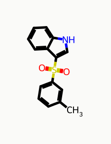 Cc1cccc(S(=O)(=O)c2c[nH]c3ccccc23)c1